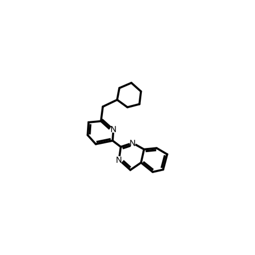 c1cc(CC2CCCCC2)nc(-c2ncc3ccccc3n2)c1